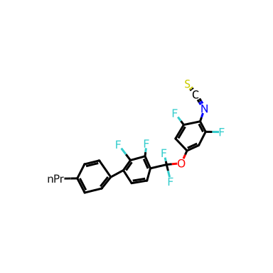 CCCc1ccc(-c2ccc(C(F)(F)Oc3cc(F)c(N=C=S)c(F)c3)c(F)c2F)cc1